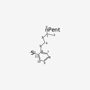 CCCCCC(C)CCCc1ccccc1[S]